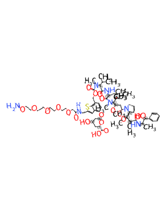 CC[C@H](C)[C@@H]([C@@H](CC(=O)N1CCC[C@H]1[C@H](OC)[C@@H](C)C(=O)N[C@H](C)[C@@H](O)c1ccccc1)OC)N(C)C(=O)[C@@H](NC(=O)[C@H](C(C)C)N(C)C(=O)OCc1ccc(O[C@H]2C[C@@H](O)C[C@@H](C(=O)O)O2)c2cc(CNC(=O)COCCOCCOCCOCCON)sc12)C(C)C